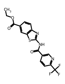 CCOC(=O)c1ccc2nc(NC(=O)c3ccc(C(F)(F)F)nc3)sc2c1